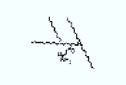 CCCCCCCCCN(CCCCCCCCC)CCN(CCN(CCCCCCCCC)CCCCCCCCC)C(=O)CCC(N)=O